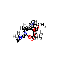 CO[C@]12C[C@@H](C)CN(C)[C@H]([C@H]3C[C@H](N(C)CC4CC4)C3)COC(=O)C(C)(C)C(=O)[C@H](C)[C@H]1O[C@@H]1O[C@H](C)C[C@H](N(C)C)[C@H]1C2